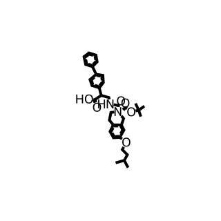 CC(C)CCOc1ccc2c(c1)C[N+](C(=O)NCC(C(=O)O)c1ccc(-c3ccccc3)cc1)(C(=O)OC(C)(C)C)CC2